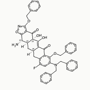 N[C@@H]1c2onc(OCc3ccccc3)c2C(=O)[C@@]2(O)C(O)=C3C(=O)c4c(c(F)cc(N(Cc5ccccc5)Cc5ccccc5)c4OCc4ccccc4)C[C@H]3C[C@@H]12